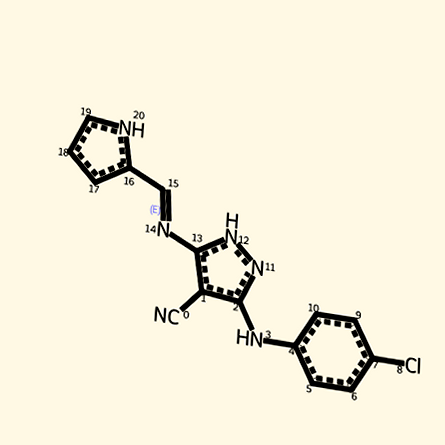 N#Cc1c(Nc2ccc(Cl)cc2)n[nH]c1/N=C/c1ccc[nH]1